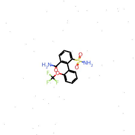 NC(=O)c1cccc(S(N)(=O)=O)c1-c1ccccc1OC(F)(F)F